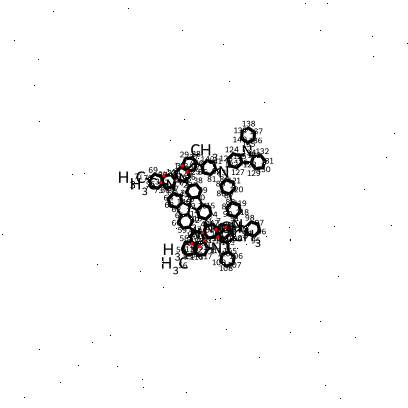 Cc1ccc(N(c2ccc(C)cc2)c2ccc3c(c2)C2(c4cc(N(c5ccc(C)cc5)c5ccc(C)cc5)ccc4-3)c3cc(N(c4ccc(C)cc4)c4ccc(C)cc4)ccc3-c3ccc(N(c4ccc(C)cc4)c4ccc(Cc5ccc(N(c6ccc(-c7ccc(N(c8ccccc8)c8ccc9c(c8)c8ccccc8n9-c8ccccc8)cc7)cc6)c6ccc7c(c6)c6ccccc6n7-c6ccccc6)cc5)cc4)cc32)cc1